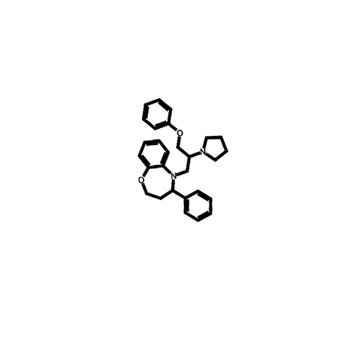 c1ccc(OCC(CN2c3ccccc3OCCC2c2ccccc2)N2CCCC2)cc1